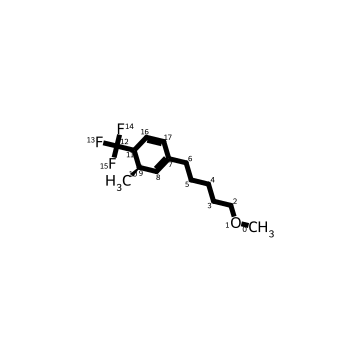 COCCCCCC1=C[C@@H](C)C(C(F)(F)F)C=C1